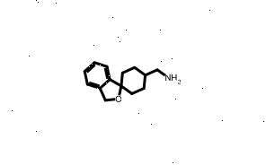 NCC1CCC2(CC1)OCc1ccccc12